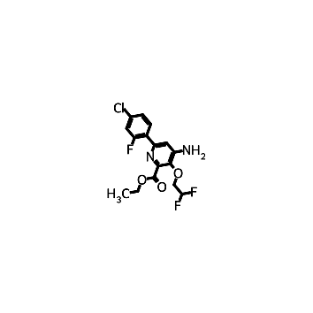 CCOC(=O)c1nc(-c2ccc(Cl)cc2F)cc(N)c1OCC(F)F